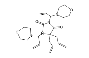 C=CCC1(CC=C)C(=O)N(C(C=C)N2CCOCC2)C(=O)N1C(C=C)N1CCOCC1